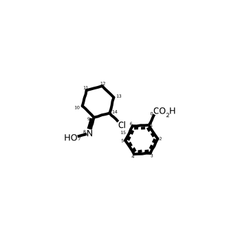 O=C(O)c1ccccc1.ON=C1CCCCC1Cl